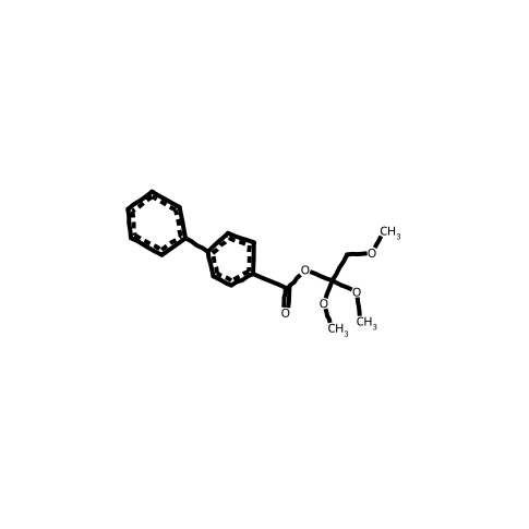 COCC(OC)(OC)OC(=O)c1ccc(-c2ccccc2)cc1